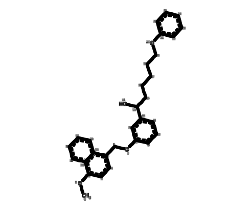 COc1ccc(COc2cccc(C(O)CCCCCOc3ccccc3)c2)c2ccccc12